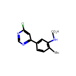 CC(C)(C)c1ccc(-c2cc(Cl)ncn2)cc1NC(=O)O